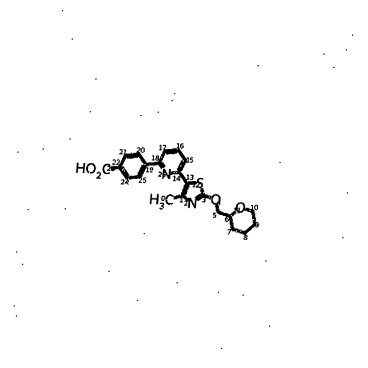 Cc1nc(OCC2CCCCO2)sc1-c1cccc(-c2ccc(C(=O)O)cc2)n1